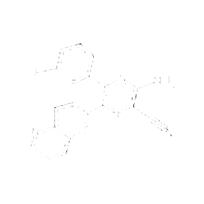 N#Cc1nc(-c2ccc3ncccc3c2)c(-c2cccc(F)c2)nc1N